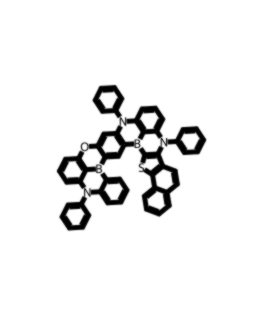 c1ccc(N2c3ccccc3B3c4cc5c(cc4Oc4cccc2c43)N(c2ccccc2)c2cccc3c2B5c2sc4c(ccc5ccccc54)c2N3c2ccccc2)cc1